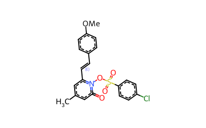 COc1ccc(/C=C/c2cc(C)cc(=O)n2OS(=O)(=O)c2ccc(Cl)cc2)cc1